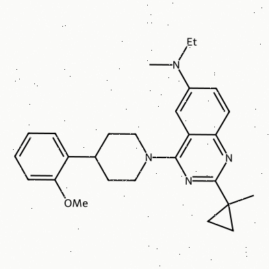 CCN(C)c1ccc2nc(C3(C)CC3)nc(N3CCC(c4ccccc4OC)CC3)c2c1